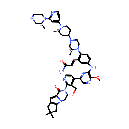 COc1ncc(-c2ccnc(N3CCn4c(cc5c4CC(C)(C)C5)C3=O)c2CO)nc1Nc1ccc(N2CCN(C3CCN(c4ccnc(N5CCNC[C@@H]5C)c4)[C@H](C)C3)C[C@@H]2C)c(C=CC(N)=O)c1